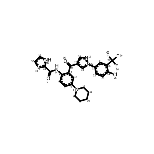 O=C(Nc1ccc(N2CCCCC2)cc1C(=O)c1cnn(-c2ccc(Cl)c(C(F)(F)F)c2)c1)c1ncc[nH]1